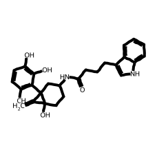 C=C1C2(O)CCC(NC(=O)CCCc3c[nH]c4ccccc34)CC12c1c(C)ccc(O)c1O